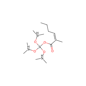 CCCC=C(C)C(=O)O[Si](O[SiH](C)C)(O[SiH](C)C)O[SiH](C)C